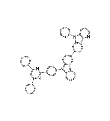 c1ccc(-c2cc(-c3ccccc3)nc(-c3ccc(-n4c5ccccc5c5cc(-c6ccc7c8ncccc8n(-c8ccccc8)c7c6)ccc54)cc3)n2)cc1